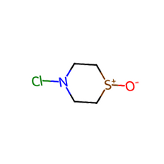 [O-][S+]1CCN(Cl)CC1